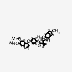 COc1cc2nccc(Oc3ccc(NC(=O)C4(C(=O)NC5(C)CC6CC(C)CC(C6)C5)CC4)cc3)c2cc1OC